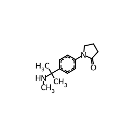 CNC(C)(C)c1ccc(N2CCCC2=O)cc1